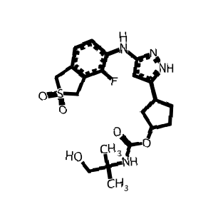 CC(C)(CO)NC(=O)OC1CCC(c2cc(Nc3ccc4c(c3F)CS(=O)(=O)C4)n[nH]2)C1